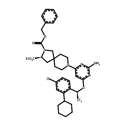 CCOC(=O)[C@@H]1CC2(CCN(c3cc(O[C@H](c4ccc(Cl)cc4C4CCCCC4)C(F)(F)F)nc(N)n3)CC2)CN1C(=O)OCc1ccccc1